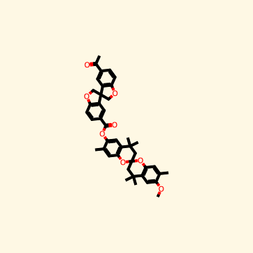 COc1cc2c(cc1C)OC1(CC2(C)C)CC(C)(C)c2cc(OC(=O)c3ccc4c(c3)C3(COc5ccc(C(C)=O)cc53)CO4)c(C)cc2O1